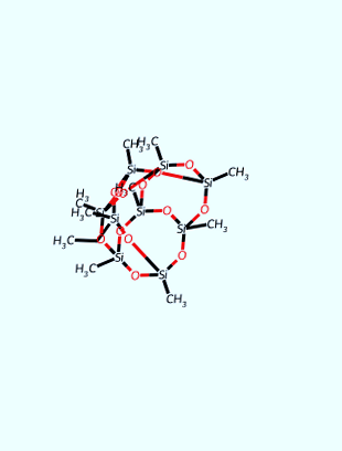 CC[Si]1(C)O[Si]2(C)O[Si]3(C)O[Si]4(C)O[Si](C)(O1)O[Si]1(C)O[Si](C)(O2)O[Si](C)(O3)O[Si](C)(O4)O1